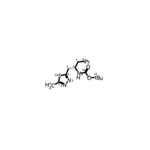 Cc1nnc(C[C@H](CC(C)C)NC(=O)OC(C)(C)C)s1